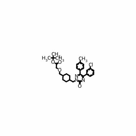 Cc1ccc(-c2nn(CC3CCC(COCC(=O)OC(C)(C)C)CC3)c(=O)nc2-c2cccc(Cl)c2)cc1